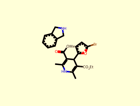 CCOC(=O)C1=C(C)NC(C)=C(C(=O)OC)C1c1ccc(Br)o1.c1ccc2c(c1)CNC2